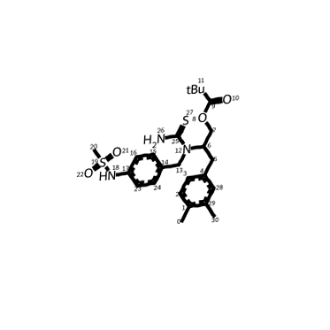 Cc1ccc(CC(COC(=O)C(C)(C)C)N(Cc2ccc(NS(C)(=O)=O)cc2)C(N)=S)cc1C